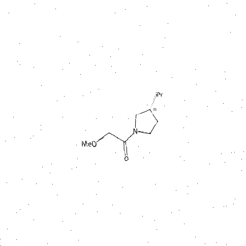 COCC(=O)N1CC[C@@H](C(C)C)C1